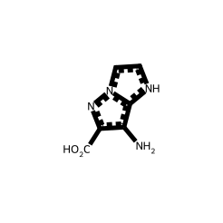 Nc1c(C(=O)O)nn2cc[nH]c12